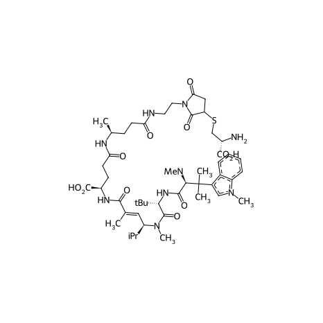 CN[C@H](C(=O)N[C@H](C(=O)N(C)[C@H](/C=C(\C)C(=O)N[C@H](CCC(=O)N[C@@H](C)CCC(=O)NCCN1C(=O)CC(SC[C@H](N)C(=O)O)C1=O)C(=O)O)C(C)C)C(C)(C)C)C(C)(C)c1cn(C)c2ccccc12